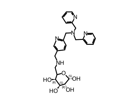 O[C@@H]1[C@@H](O)[C@@H](O)C(CNCc2ccc(CN(Cc3ccccn3)Cc3ccccn3)nc2)O[C@@H]1O